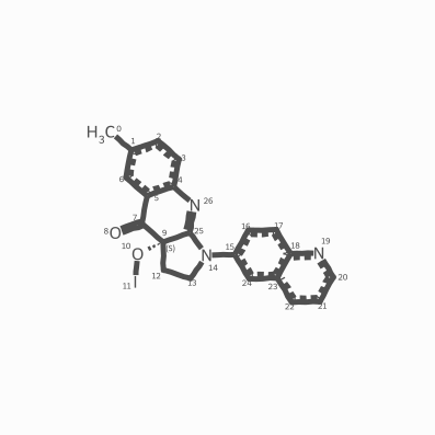 Cc1ccc2c(c1)C(=O)[C@]1(OI)CCN(c3ccc4ncccc4c3)C1=N2